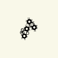 O=S1(=O)c2ccccc2Oc2cc(N3c4ccccc4Sc4ccccc43)ccc21